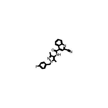 Cc1nn(Cc2ccc(F)cc2)c(C)c1NC(=O)c1cc(C#N)nc2ccccc12